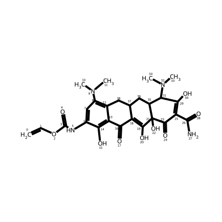 C=COC(=O)Nc1cc(N(C)C)c2c(c1O)C(=O)C1=C(O)C3(O)C(=O)C(C(N)=O)=C(O)C(N(C)C)C3CC1C2